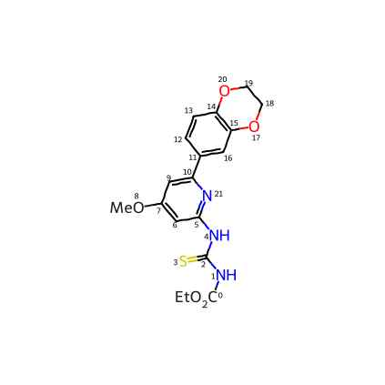 CCOC(=O)NC(=S)Nc1cc(OC)cc(-c2ccc3c(c2)OCCO3)n1